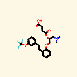 CN(C)CC(COc1ccccc1CCc1cccc(OC(F)(F)F)c1)OC(=O)CCC(=O)O